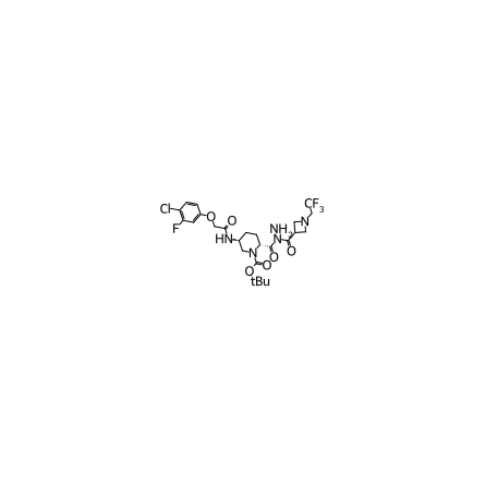 CC(C)(C)OC(=O)N1C[C@@H](NC(=O)COc2ccc(Cl)c(F)c2)CC[C@@H]1C(=O)N(N)C(=O)C1CN(CC(F)(F)F)C1